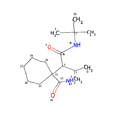 CC(C)C(C(=O)NC(C)(C)C)C1(C(N)=O)CCCCC1